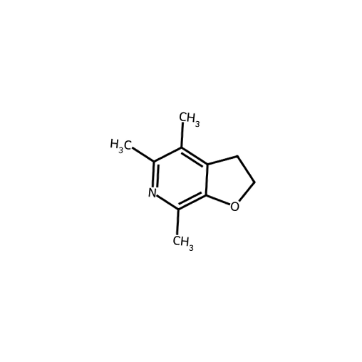 Cc1nc(C)c2c(c1C)CCO2